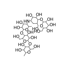 CC1OC(CO)C(OC2OC(CO)C(OC3OC(C)C(NC4CC(CO)C(OC5OC(CO)C(O)C(O)C5O)C(O)C4O)C(O)C3O)C(O)C2O)C(O)C1O